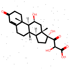 C[C@]12CCC(=O)C=C1CC[C@@H]1[C@@H]2[C@@H](O)C[C@@]2(C)[C@H]1CC[C@]2(O)C(=O)C(O)C(=O)O